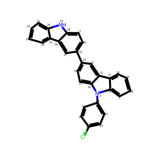 Clc1ccc(-n2c3ccccc3c3cc(-c4ccc5[nH]c6ccccc6c5c4)ccc32)cc1